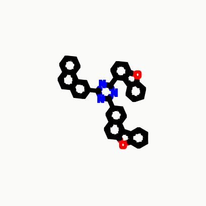 c1ccc2c(c1)ccc1ccc(-c3nc(-c4ccc5c(ccc6oc7ccccc7c65)c4)nc(-c4cccc5oc6ccccc6c45)n3)cc12